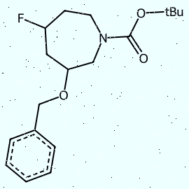 CC(C)(C)OC(=O)N1CCC(F)CC(OCc2ccccc2)C1